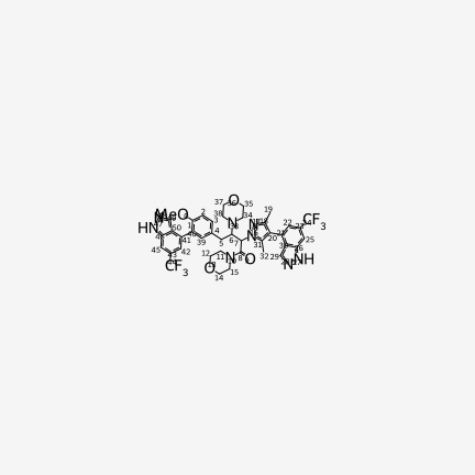 COc1ccc(CC(C(C(=O)N2CCOCC2)n2nc(C)c(-c3cc(C(F)(F)F)cc4[nH]ncc34)c2C)N2CCOCC2)cc1-c1cc(C(F)(F)F)cc2[nH]ncc12